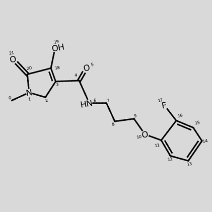 CN1CC(C(=O)NCCCOc2ccccc2F)=C(O)C1=O